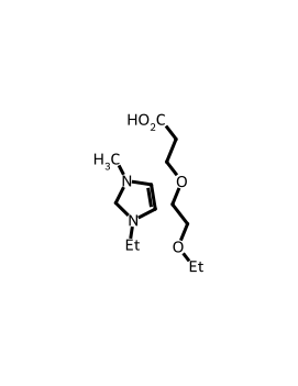 CCN1C=CN(C)C1.CCOCCOCCC(=O)O